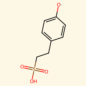 [O]c1ccc(CCS(=O)(=O)O)cc1